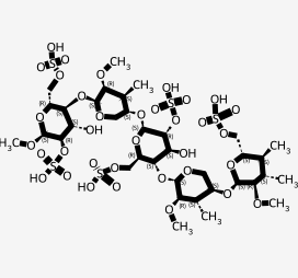 CO[C@H]1O[C@H](COS(=O)(=O)O)[C@@H](O[C@@H]2OC[C@@H](O[C@H]3O[C@H](COS(=O)(=O)O)[C@@H](O[C@@H]4OC[C@@H](O[C@H]5O[C@H](COS(=O)(=O)O)[C@@H](C)[C@H](C)[C@H]5OC)[C@H](C)[C@H]4OC)[C@H](O)[C@H]3OS(=O)(=O)O)[C@H](C)[C@H]2OC)[C@H](O)[C@H]1OS(=O)(=O)O